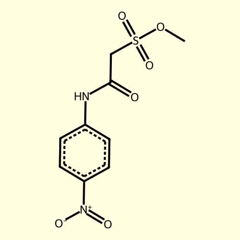 COS(=O)(=O)CC(=O)Nc1ccc([N+](=O)[O-])cc1